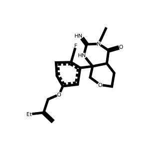 C=C(CC)COc1ccc(F)c(C23COCCC2C(=O)N(C)C(=N)N3)c1